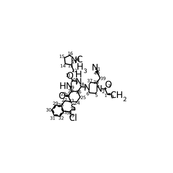 C=CC(=O)N1CCN(C2NC(OCC3CCCN3C)NC3C(=O)[C@@]4(CCC32)Cc2ccccc2C(Cl)S4)CC1CC#N